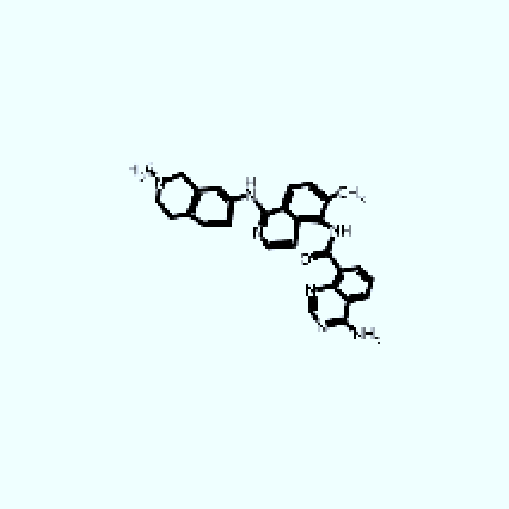 Cc1ccc2c(Nc3ccc4c(c3)CN(C)CC4)nccc2c1NC(=O)c1cccc2c(N)ncnc12